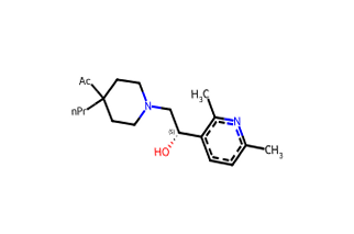 CCCC1(C(C)=O)CCN(C[C@@H](O)c2ccc(C)nc2C)CC1